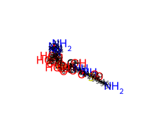 CC(C)(COP(=O)(O)OP(=O)(O)OC[C@H]1O[C@@H](n2cnc3c(N)ncnc32)[C@H](O)[C@@H]1OP(=O)(O)O)[C@@H](O)C(=O)NCCC(=O)NCCSC(=O)CC(=O)CCCCN